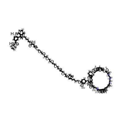 CO[C@H]1C[C@@H]2CC[C@@H](C)[C@@](O)(O2)C(=O)C(=O)N2CCCC[C@H]2C(=O)O[C@H]([C@H](N)C[C@@H]2CC[C@@H](OCCCCc3cn(CCOCCOCCOCCOCCOCCOCCOCCOCCC(=O)NCCCCn4nc(-c5cccc(C(=O)NC6=NCCS6)c5)c5c(N)ncnc54)nn3)[C@H](OC)C2)CC(=O)[C@H](C)/C=C(\C)[C@@H](O)[C@@H](O)C(=O)[C@H](C)C[C@H](C)/C=C/C=C/C=C/1C